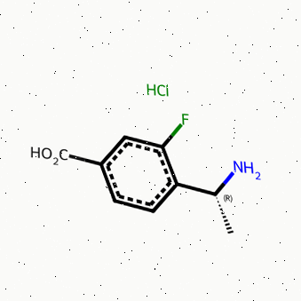 C[C@@H](N)c1ccc(C(=O)O)cc1F.Cl